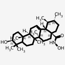 C[C@H]1[C@H](C)CC[C@]2(C(=O)NO)CC[C@]3(C)C(=CC[C@@H]4[C@@]5(C)CC[C@H](O)C(C)(C)C5CC[C@]43C)[C@H]12